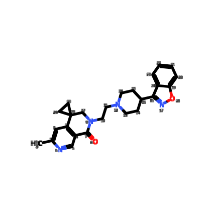 Cc1cc2c(cn1)C(=O)N(CCN1CCC(c3noc4ccccc34)CC1)CC21CC1